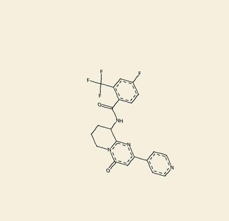 O=C(NC1CCCn2c1nc(-c1ccncc1)cc2=O)c1ccc(F)cc1C(F)(F)F